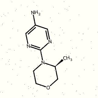 C[C@H]1COCCN1c1ncc(N)cn1